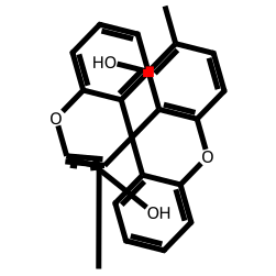 Cc1ccc2c(c1O)C1(c3ccccc3O2)c2ccccc2Oc2ccc(C)c(O)c21